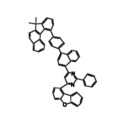 CC1(C)c2cccc(-c3ccc(-c4ccc(-c5cc(-c6cccc7oc8ccccc8c67)nc(-c6ccccc6)n5)c5ccccc45)cc3)c2-c2c1ccc1ccccc21